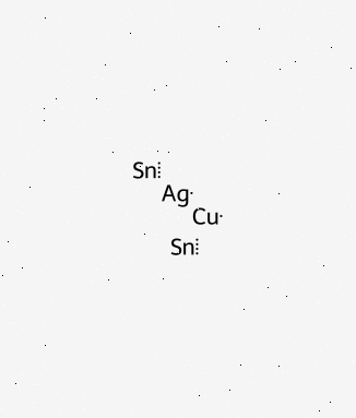 [Ag].[Cu].[Sn].[Sn]